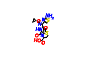 Nc1nc(C(=NOC2CC2)C(=O)N[C@@H]2C(=O)N3C(C(=O)O)=CCS[C@@H]23)cs1